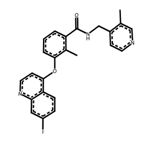 Cc1cnccc1CNC(=O)c1cccc(Oc2ccnc3cc(I)ccc23)c1C